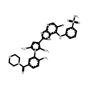 Cc1ccc(C(=O)N2CCOCC2)cc1-n1c(C)cc(-c2nc3ncc(Br)c(Nc4cccc(S(N)(=O)=O)c4)c3[nH]2)c1C